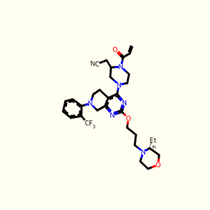 C=CC(=O)N1CCN(c2nc(OCCCN3CCOC[C@H]3CC)nc3c2CCN(c2ccccc2C(F)(F)F)C3)CC1CC#N